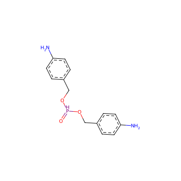 Nc1ccc(CO[PH](=O)OCc2ccc(N)cc2)cc1